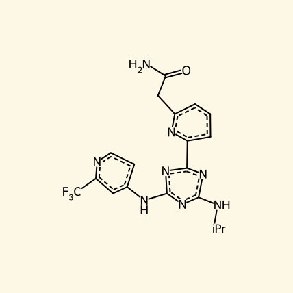 CC(C)Nc1nc(Nc2ccnc(C(F)(F)F)c2)nc(-c2cccc(CC(N)=O)n2)n1